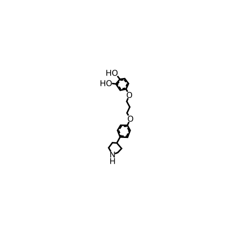 Oc1ccc(OCCCOc2ccc(C3CCNCC3)cc2)cc1O